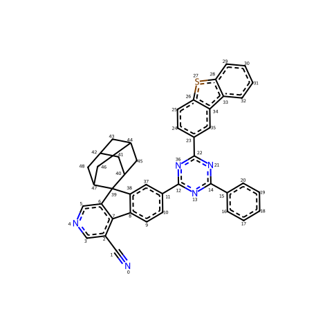 N#Cc1cncc2c1-c1ccc(-c3nc(-c4ccccc4)nc(-c4ccc5sc6ccccc6c5c4)n3)cc1C21C2CC3CC(C2)CC1C3